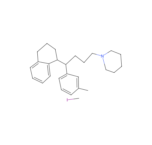 CI.Cc1cccc(C(CCCN2CCCCC2)C2CCCc3ccccc32)c1